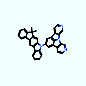 CC1(C)c2ccccc2-c2cc3c4ccccc4n(-c4cc5c6ccncc6n6c7cnccc7c(c4)c56)c3cc21